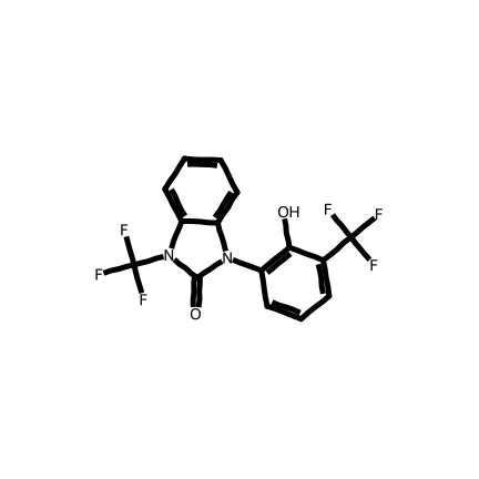 O=c1n(-c2cccc(C(F)(F)F)c2O)c2ccccc2n1C(F)(F)F